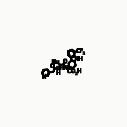 CCC(C)C(NC(=O)Cc1cccnc1)C(=O)N[C@]1(C(=O)O)CCc2[nH]c3c(C(F)(F)F)cccc3c2C1